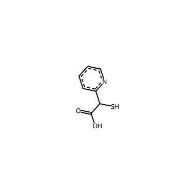 O=C(O)C(S)c1ccccn1